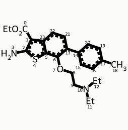 CCOC(=O)c1c(N)sc2c(OCCN(CC)CC)c(-c3ccc(C)cc3)ccc12